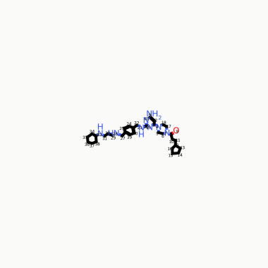 Nc1cc(N2CCN(C(=O)CCC3CCCC3)CC2)nc(NCc2ccc(CNCCCNC3CCCCC3)cc2)n1